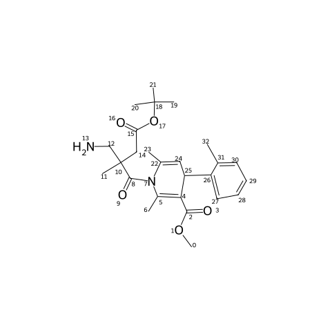 COC(=O)C1=C(C)N(C(=O)C(C)(CN)CC(=O)OC(C)(C)C)C(C)=CC1c1ccccc1C